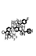 [2H]C([2H])(O)[C@@H](Nc1cc(Nc2ccc3c(n2)C(C)(C)NC3=O)ncc1-c1nc(C23CCN(CC2)CC3)no1)c1ccc(F)cc1